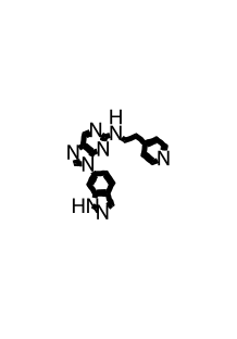 c1cc(CCNc2ncc3ncn(-c4ccc5cn[nH]c5c4)c3n2)ccn1